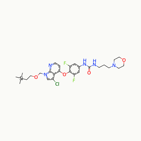 C[Si](C)(C)CCOCn1cc(Cl)c2c(Oc3c(F)cc(NC(=O)NCCCN4CCOCC4)cc3F)ccnc21